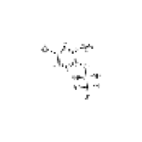 [2H]C([2H])(F)C([2H])([2H])Oc1cnc(N)nc1OC